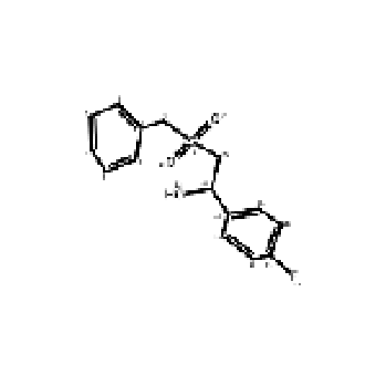 O=S(=O)(Cc1ccccc1)CC(O)c1ccc(F)cc1